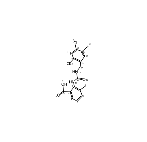 Cc1cccc(C(=O)O)c1NC(=O)NCc1cc(F)c(Cl)nc1Cl